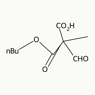 CCCCOC(=O)C(C)(C=O)C(=O)O